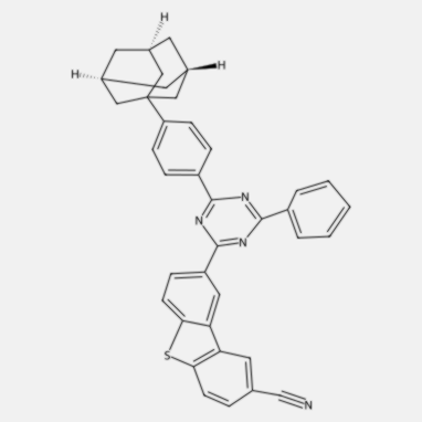 N#Cc1ccc2sc3ccc(-c4nc(-c5ccccc5)nc(-c5ccc(C67C[C@H]8C[C@H](C6)C[C@@H](C7)C8)cc5)n4)cc3c2c1